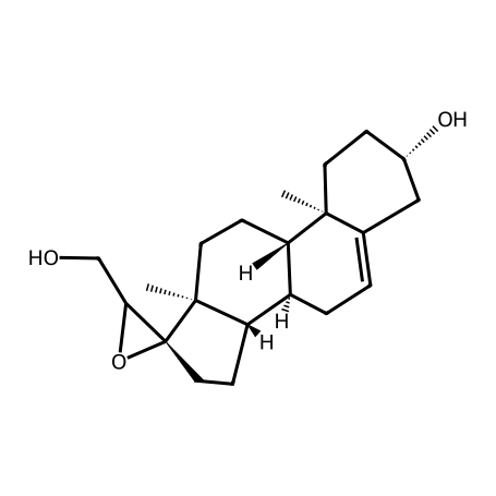 C[C@]12CC[C@H](O)CC1=CC[C@@H]1[C@@H]2CC[C@@]2(C)[C@H]1CC[C@]21OC1CO